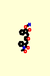 CC(=O)N1C(=O)/C(=C/c2ccc(/C=C3/C(=O)C(OC#N)c4ccccc43)o2)c2ccccc21